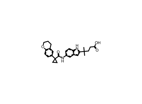 CC(C)(CCC(=O)O)c1cc2cc(NC(=O)C3(c4ccc5c(c4)CCCO5)CC3)ccc2[nH]1